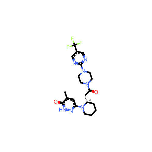 Cc1cc(N2CCCC[C@H]2CC(=O)N2CCN(c3ncc(C(F)(F)F)cn3)CC2)n[nH]c1=O